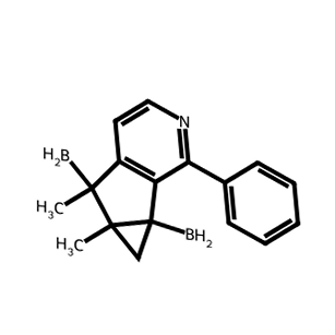 BC1(C)c2ccnc(-c3ccccc3)c2C2(B)CC12C